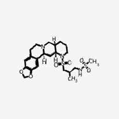 CC(CNS(C)(=O)=O)CS(=O)(=O)N1CCC[C@H]2CN3CCc4cc5c(cc4[C@@H]3C[C@H]21)OCO5